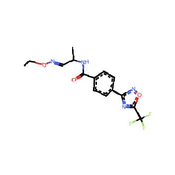 CCON=CC(C)NC(=O)c1ccc(-c2noc(C(F)(F)F)n2)cc1